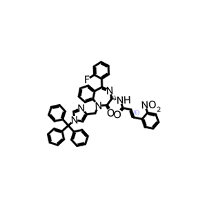 O=C(/C=C/c1ccccc1[N+](=O)[O-])N[C@H]1N=C(c2ccccc2F)c2ccccc2N(Cc2cn(C(c3ccccc3)(c3ccccc3)c3ccccc3)cn2)C1=O